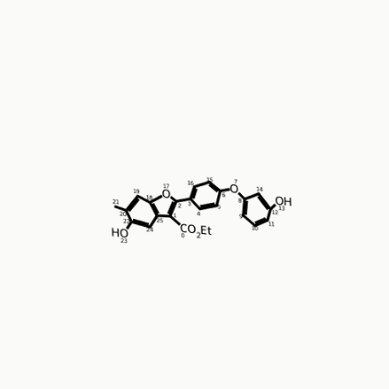 CCOC(=O)c1c(-c2ccc(Oc3cccc(O)c3)cc2)oc2cc(C)c(O)cc12